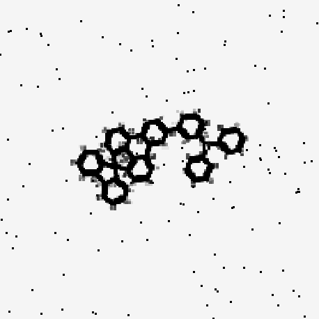 c1ccc(N(c2ccccc2)c2cccc(-c3ccc4c(c3)c3cccc5c3c3c(cccc43)C53c4ccccc4-c4ccccc43)c2)cc1